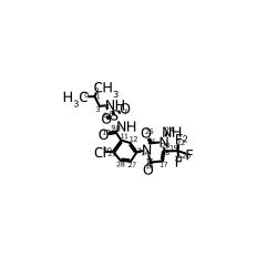 CC(C)CNS(=O)(=O)NC(=O)c1cc(-n2c(=O)cc(C(F)(F)F)n(N)c2=O)ccc1Cl